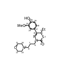 CCC1SC(=O)N(CCCN2CCOCC2)N=C1c1ccc(O)c(OC)c1